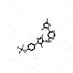 Cc1cc(C)n(-c2cc(Nc3c(C)c(-c4ccc(OC(F)(F)F)cc4)nn3C)ncn2)n1